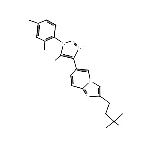 Cc1c(-c2ccc3nc(CCC(C)(C)O)cn3c2)nnn1-c1ccc(F)cc1F